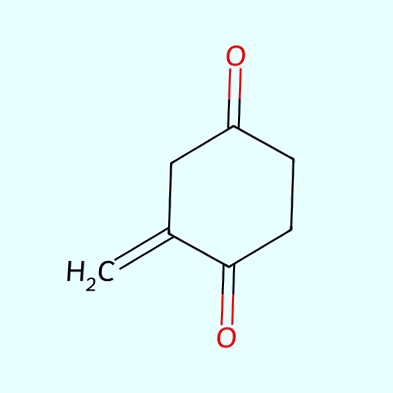 C=C1CC(=O)CCC1=O